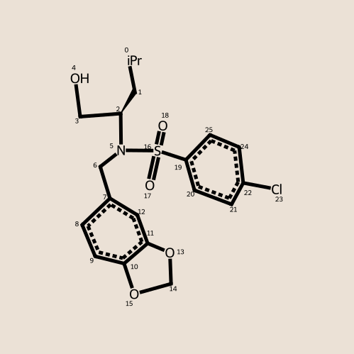 CC(C)C[C@H](CO)N(Cc1ccc2c(c1)OCO2)S(=O)(=O)c1ccc(Cl)cc1